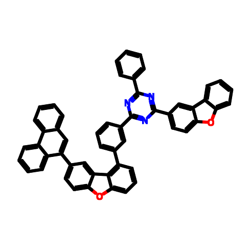 c1ccc(-c2nc(-c3cccc(-c4cccc5oc6ccc(-c7cc8ccccc8c8ccccc78)cc6c45)c3)nc(-c3ccc4oc5ccccc5c4c3)n2)cc1